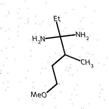 CCC(N)(N)C(C)C[CH]OC